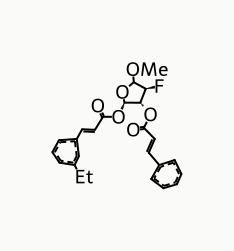 CCc1cccc(C=CC(=O)O[C@H]2OC(OC)[C@@H](F)[C@@H]2OC(=O)C=Cc2ccccc2)c1